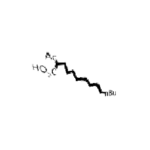 CCCC/C=C/CCCCCCC(C(C)=O)C(=O)O